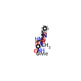 COC(=O)Nc1ccc2c(c1)N(C)C(=O)[C@@H](NC(=O)c1cc(Cc3ccccc3)on1)CO2